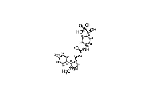 Cn1ncc(C=CC(=O)Nc2ccc(C(O)P(=O)(O)O)cc2)c1-c1ccc(F)cc1